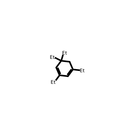 CCC1=CC(CC)(CC)CC(CC)=C1